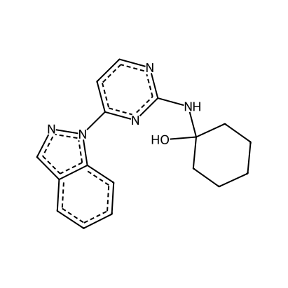 OC1(Nc2nccc(-n3ncc4ccccc43)n2)CCCCC1